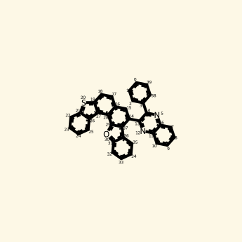 c1ccc(-c2nc3ccccc3nc2-c2cc3ccc4sc5ccccc5c4c3c3oc4ccccc4c23)cc1